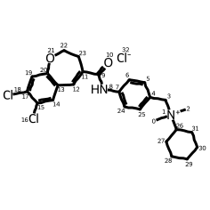 C[N+](C)(Cc1ccc(NC(=O)C2=Cc3cc(Cl)c(Cl)cc3OCC2)cc1)C1CCCCC1.[Cl-]